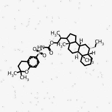 CC[C@H]1C[C@H]2C3CCC([C@H](C)COC(=O)NS(=O)(=O)c4ccc5c(c4)CCC(C)(C)O5)[C@@]3(C)CC[C@@H]2[C@@]2(C)CCCC[C@@H]12